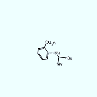 CCCCC(CCC)Nc1ccccc1C(=O)O